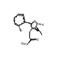 Cc1[nH]nc(-c2ccccc2F)c1CC(=O)O